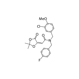 COc1ccc(CN(Cc2ccc(F)cc2)C(=O)C=C2OC(C)(C)OC2=O)cc1Cl